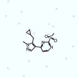 Cn1ncc(-c2ccnc(S(C)(=O)=O)n2)c1CC1CC1